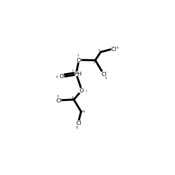 O=[PH](OC(Cl)CCl)OC(Cl)CCl